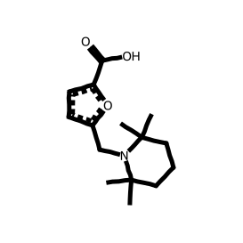 CC1(C)CCCC(C)(C)N1Cc1ccc(C(=O)O)o1